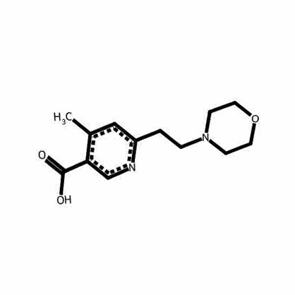 Cc1cc(CCN2CCOCC2)ncc1C(=O)O